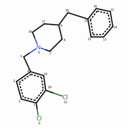 Clc1ccc(CN2[CH]CC(Cc3ccccc3)CC2)cc1Cl